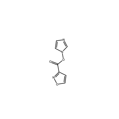 O=C(On1ccnc1)c1ccon1